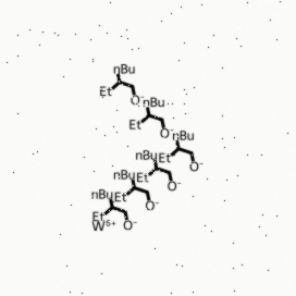 CCCCC(CC)C[O-].CCCCC(CC)C[O-].CCCCC(CC)C[O-].CCCCC(CC)C[O-].CCCCC(CC)C[O-].CCCCC(CC)C[O-].[W+6]